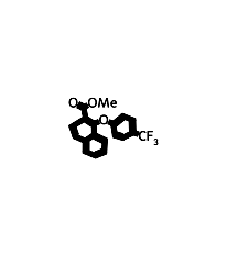 COC(=O)c1ccc2ccccc2c1Oc1ccc(C(F)(F)F)cc1